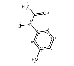 CC(=O)N(Cl)c1cccc(O)c1